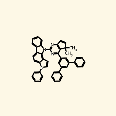 CC1(C)C=Cc2nc(-n3c4ccccc4c4ccc5c(ccn5-c5ccccc5)c43)nc(-c3cc(-c4ccccc4)cc(-c4ccccc4)c3)c21